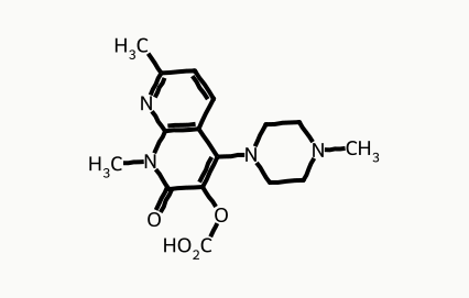 Cc1ccc2c(N3CCN(C)CC3)c(OC(=O)O)c(=O)n(C)c2n1